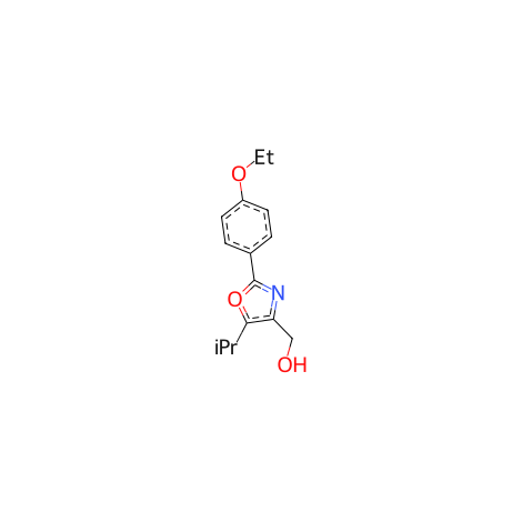 CCOc1ccc(-c2nc(CO)c(C(C)C)o2)cc1